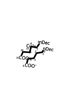 CCCCCCCCCCCCCCC(=O)[O-].CCCCCCCCCCCCCCC(=O)[O-].[Cu+2]